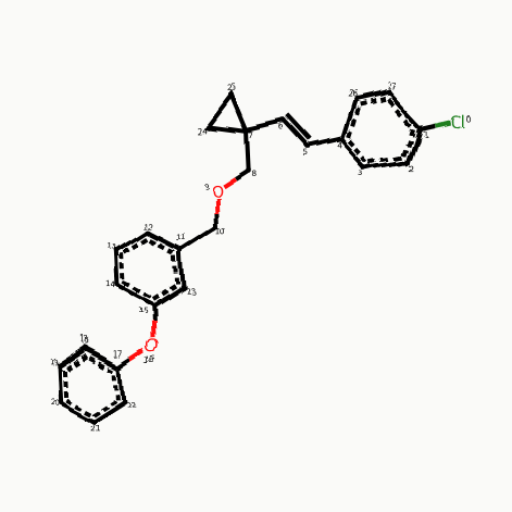 Clc1ccc(C=CC2(COCc3cccc(Oc4ccccc4)c3)CC2)cc1